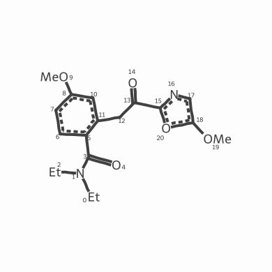 CCN(CC)C(=O)c1ccc(OC)cc1CC(=O)c1ncc(OC)o1